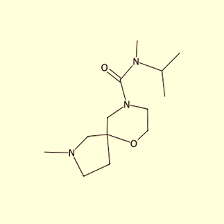 CC(C)N(C)C(=O)N1CCOC2(CCN(C)C2)C1